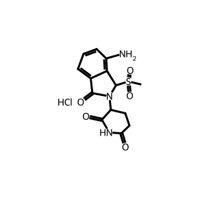 CS(=O)(=O)C1c2c(N)cccc2C(=O)N1C1CCC(=O)NC1=O.Cl